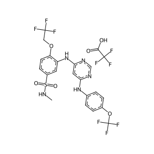 CNS(=O)(=O)c1ccc(OCC(F)(F)F)c(Nc2cc(Nc3ccc(OC(F)(F)F)cc3)ncn2)c1.O=C(O)C(F)(F)F